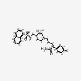 CN(CC1CCN(CCCN(C(N)=O)c2ccc(F)cc2)CC1)S(=O)(=O)c1cccc2cnccc12.Cl